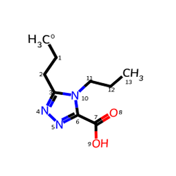 CCCc1nnc(C(=O)O)n1CCC